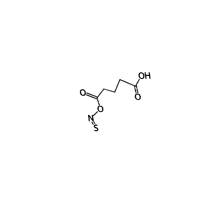 O=C(O)CCCC(=O)ON=S